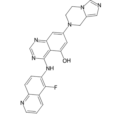 Oc1cc(N2CCn3cncc3C2)cc2ncnc(Nc3ccc4ncccc4c3F)c12